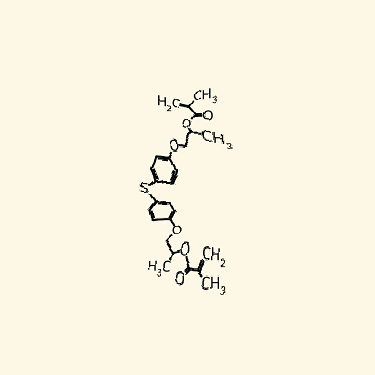 C=C(C)C(=O)OC(C)COc1ccc(Sc2ccc(OCC(C)OC(=O)C(=C)C)cc2)cc1